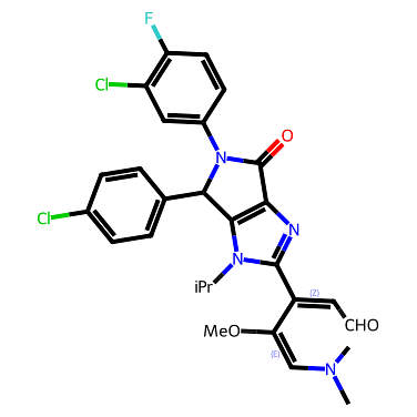 COC(=C/N(C)C)/C(=C\C=O)c1nc2c(n1C(C)C)C(c1ccc(Cl)cc1)N(c1ccc(F)c(Cl)c1)C2=O